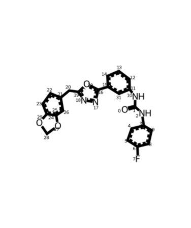 O=C(Nc1ccc(F)cc1)Nc1cccc(-c2nnc(Cc3ccc4c(c3)OCO4)o2)c1